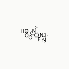 CN(C)CC1(C)CCN(c2cc3c(cc2F)c(=O)c(C(=O)O)cn3C2CC2)C1